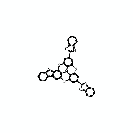 c1ccc2oc(-c3cc4c5c(c3)Sc3cc6c(sc7ccccc76)c6c3N5c3c(cc(-c5nc7ccccc7o5)cc3S6)S4)nc2c1